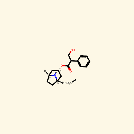 CN1[C@@H]2CC[C@H]1C[C@@H](OC(=O)C(CO)c1ccccc1)C2.CS(=O)(=O)O